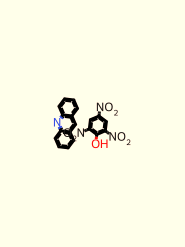 O=[N+]([O-])c1cc([N+](=O)[O-])c(O)c([N+](=O)[O-])c1.c1ccc2nc3ccccc3cc2c1